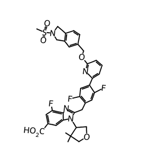 CC1(C)COCC1n1c(Cc2cc(F)c(-c3cccc(OCc4ccc5c(c4)CN(S(C)(=O)=O)C5)n3)cc2F)nc2c(F)cc(C(=O)O)cc21